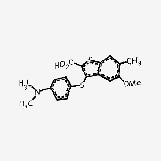 COc1cc2c(Sc3ccc(N(C)C)cc3)c(C(=O)O)sc2cc1C